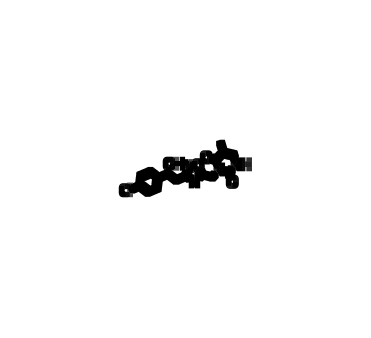 Cc1c[nH]c(=O)n(Cc2nc(C[C@H](O)c3ccc(Cl)cc3)no2)c1=O